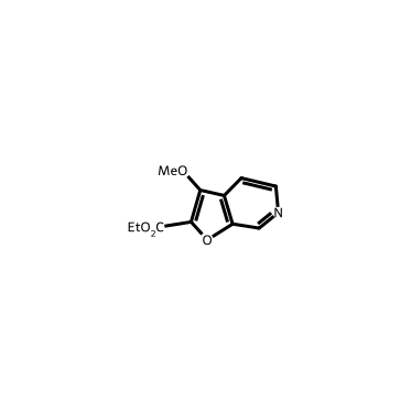 CCOC(=O)c1oc2cnccc2c1OC